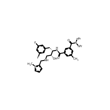 CCCN(CCC)C(=O)c1cc(C)cc(C(=O)N[C@@H](Cc2cc(F)cc(F)c2)[C@H](O)CNCc2cccn2C)c1